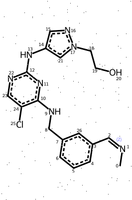 C/N=C\c1cccc(CNc2nc(Nc3cnn(CCO)c3)ncc2Cl)c1